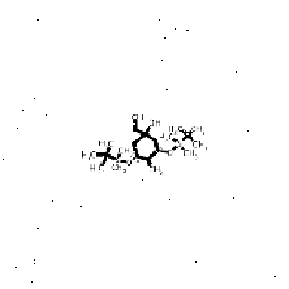 C=C1[C@H](O[Si](C)(C)C(C)(C)C)CC(O)(CO)C[C@H]1O[Si](C)(C)C(C)(C)C